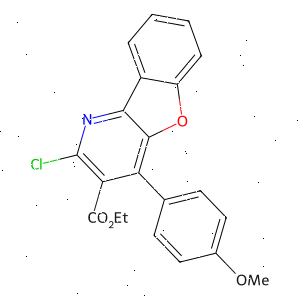 CCOC(=O)c1c(Cl)nc2c(oc3ccccc32)c1-c1ccc(OC)cc1